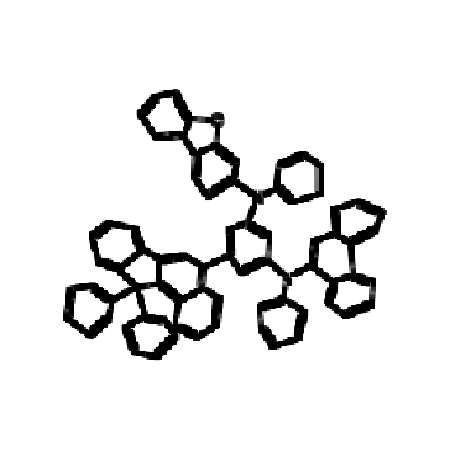 c1ccc(N(c2cc(-c3cc4c(c5ccccc35)C(c3ccccc3)(c3ccccc3)c3ccccc3-4)cc(N(c3ccccc3)c3cc4ccccc4c4ccccc34)c2)c2ccc3c(c2)oc2ccccc23)cc1